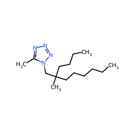 CCCCCCC(C)(CCCC)Cn1nnnc1C